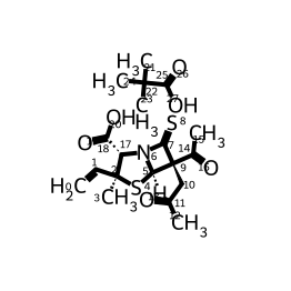 C=C[C@]1(C)S[C@H]2N(C(=S)[C@]2(CC(C)=O)C(C)=O)[C@H]1C(=O)O.CC(C)(C)C(=O)O